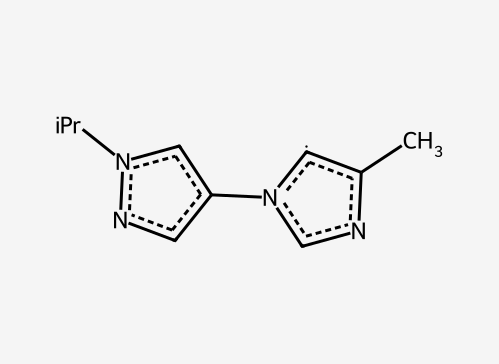 Cc1[c]n(-c2cnn(C(C)C)c2)cn1